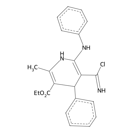 CCOC(=O)C1=C(C)NC(Nc2ccccc2)=C(C(=N)Cl)C1c1ccccc1